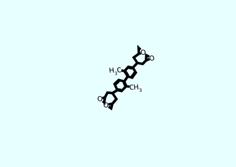 Cc1cc(C(CC2CO2)CC2CO2)ccc1-c1ccc(C(CC2CO2)CC2CO2)cc1C